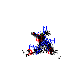 COc1cc2nc(COC(F)(F)F)cn2c(Nc2cc([C@H]3OC[C@@H](OC(=O)NC45CC(C4)C5)[C@@H]3F)[nH][n+]2Cc2cc3nc(COC(F)(F)F)cn3c(Nc3cc([C@H]4OC[C@@H](OC(=O)NC56CC(C5)C6)[C@H]4F)[nH]n3)n2)n1